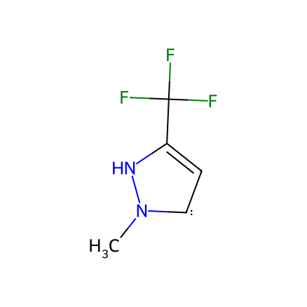 CN1[C]C=C(C(F)(F)F)N1